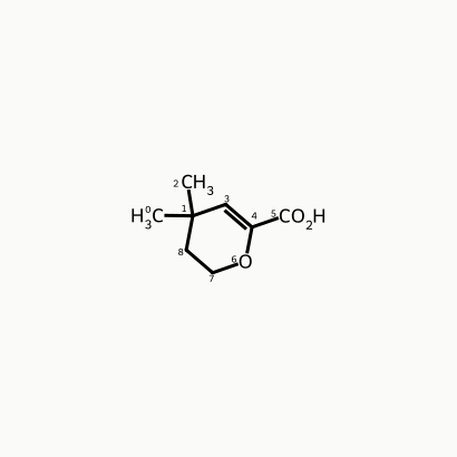 CC1(C)C=C(C(=O)O)OCC1